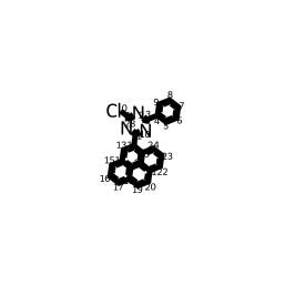 Clc1nc(-c2ccccc2)nc(-c2cc3cccc4ccc5cccc2c5c43)n1